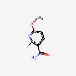 COc1ccc(C(N)=O)c(F)n1